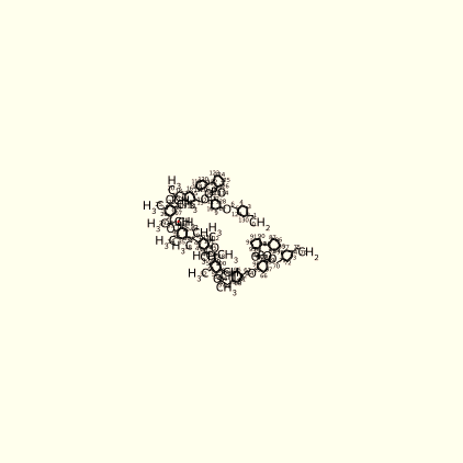 C=Cc1ccc(COc2ccc(OCc3ccc(CC(C)(C)Oc4c(C)cc(C(C)(C)Oc5c(C)cc(C(C)(C)c6cc(C)c(OC(C)(C)c7cc(C)c(OC(C)(C)Cc8ccc(COc9ccc(OCc%10ccc(C=C)cc%10)c(P%10(=O)Oc%11ccccc%11-c%11ccccc%11%10)c9)cc8)c(C)c7)c(C)c6)cc5C)cc4C)cc3)c(P3(=O)Oc4ccccc4-c4ccccc43)c2)cc1